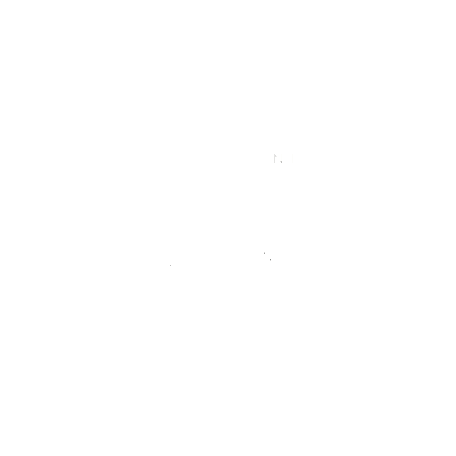 Cc1ncc(B2OC(C)(C)C(C)(C)O2)c(C)c1OC(N)=O